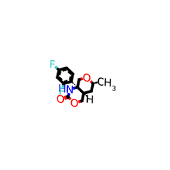 C[C@H]1C[C@H]2COC(=O)N[C@@]2(c2ccc(F)cc2F)CO1